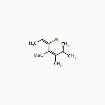 C=C(C)/C(C)=C(OC)\C(Br)=C/C